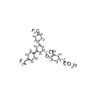 O=C(O)Cc1ccc(OCc2cc(-c3ccc(C(F)(F)F)cc3)cc(-c3ccc(C(F)(F)F)cc3)c2)c(Cl)c1